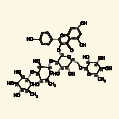 C[C@@H]1O[C@@H](OC[C@H]2O[C@@H](Oc3c(-c4ccc(O)cc4)oc4cc(O)cc(O)c4c3=O)[C@H](O[C@@H]3O[C@@H](C)[C@H](O)[C@@H](O[C@@H]4O[C@@H](C)[C@H](O)[C@@H](O)[C@H]4O)[C@H]3O)[C@@H](O)[C@H]2O)[C@H](O)[C@H](O)[C@H]1O